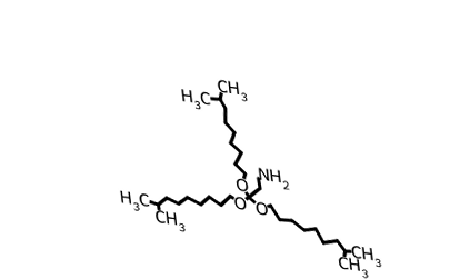 CC(C)CCCCCCCOC(CCN)(OCCCCCCCC(C)C)OCCCCCCCC(C)C